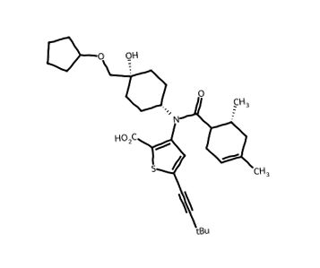 CC1=CCC(C(=O)N(c2cc(C#CC(C)(C)C)sc2C(=O)O)[C@H]2CC[C@](O)(COC3CCCC3)CC2)[C@H](C)C1